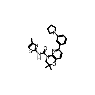 Cc1csc(NC(=O)N2CC(C)(C)Oc3ccc(-c4cccc(N5CCCC5)c4)nc32)n1